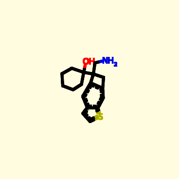 NCC1(C2(O)CCCCC2)Cc2cc3sccc3cc21